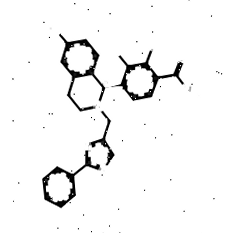 CCc1c(C(N)=O)ccc([C@@H]2c3ccc(O)cc3CCN2Cc2cnc(-c3ccccc3)[nH]2)c1CC